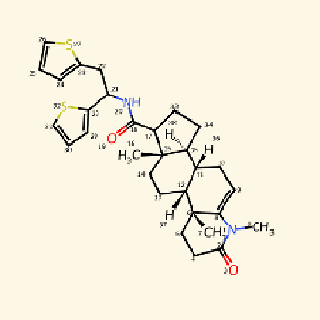 CN1C(=O)CC[C@@]2(C)C1=CC[C@@H]1[C@H]2CC[C@]2(C)C(C(=O)NC(Cc3cccs3)c3cccs3)CC[C@@H]12